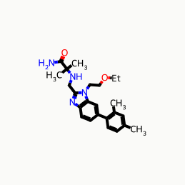 CCOCCn1c(CNC(C)(C)C(N)=O)nc2ccc(-c3ccc(C)cc3C)cc21